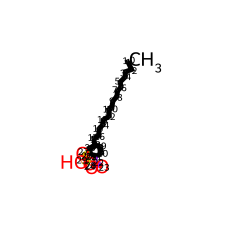 CCCCCCCCCCC=CCCCCCCc1ccc(I(=O)=O)c(S(=O)(=O)O)c1